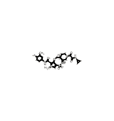 Cc1cc(NC(=O)c2c3c(cn2C)S(=O)(=O)N[C@H]2CN(C(=O)C(=O)NC4CC4)CC[C@@H]2CO3)ccc1F